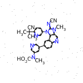 CN(C(=O)O)c1cncc(-c2ccc3ncc4c(c3c2)n(-c2ccc(C(C)(C)C#N)nc2)c(=NC#N)n4C)c1